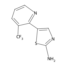 Nc1ncc(-c2ncccc2C(F)(F)F)s1